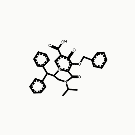 CC(C)N1CC(C(c2ccccc2)c2ccccc2)n2cc(C(=O)O)c(=O)c(OCc3ccccc3)c2C1=O